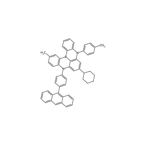 Cc1ccc(N2c3ccccc3B3c4cc(C)ccc4N(c4ccc(-c5c6ccccc6cc6ccccc56)cc4)c4cc(C5CCCCC5)cc2c43)cc1